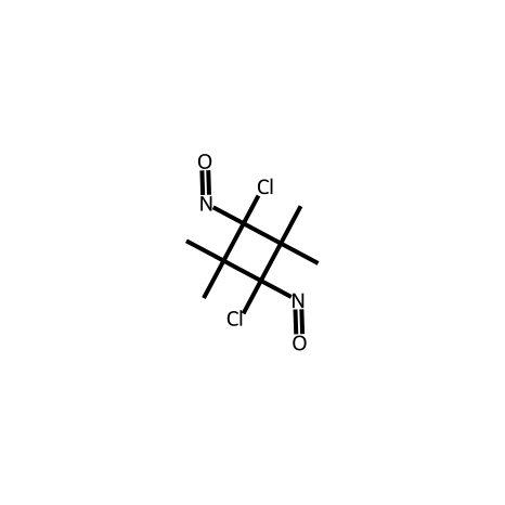 CC1(C)C(Cl)(N=O)C(C)(C)C1(Cl)N=O